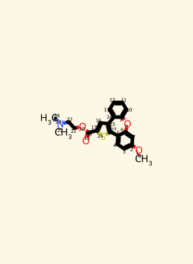 COc1ccc2c(c1)Oc1ccccc1-c1cc(C(=O)OCCN(C)C)sc1-2